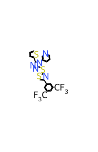 FC(F)(F)c1cc(-c2csc(Sc3nnc(-c4cccs4)n3-c3cccnc3)n2)cc(C(F)(F)F)c1